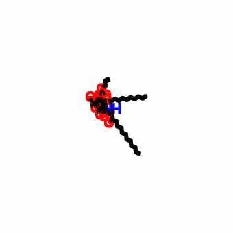 C=CCOC(=O)O[C@H]1[C@H](OCCCCCCCCCC)[C@H](NC(=O)CC(=O)CCCCCCCCCCC)[C@@H](O)O[C@@H]1CO